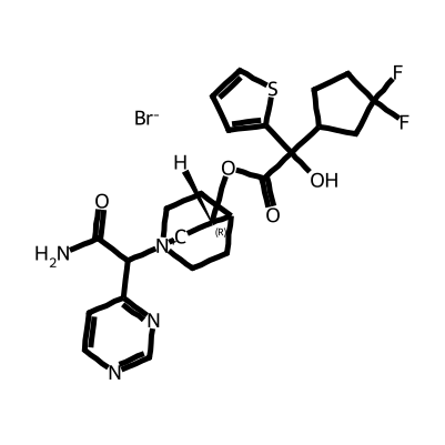 NC(=O)C(c1ccncn1)[N+]12CCC(CC1)[C@@H](OC(=O)C(O)(c1cccs1)C1CCC(F)(F)C1)C2.[Br-]